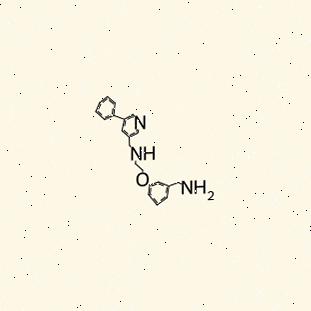 NCc1cccc(OCCNCc2cncc(-c3ccccc3)c2)c1